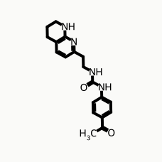 CC(=O)c1ccc(NC(=O)NCCc2ccc3c(n2)NCCC3)cc1